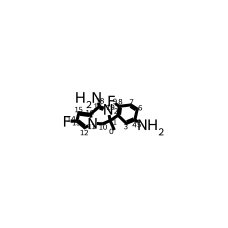 CC1(c2cc(N)ccc2F)Cn2cc(F)cc2C(N)=N1